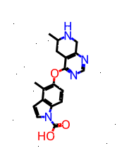 Cc1c(Oc2ncnc3c2CC(C)NC3)ccc2c1ccn2C(=O)O